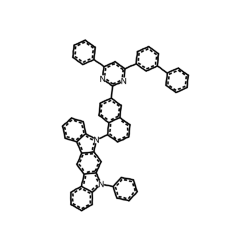 c1ccc(-c2cccc(-c3cc(-c4ccccc4)nc(-c4ccc5c(-n6c7ccccc7c7cc8c9ccccc9n(-c9ccccc9)c8cc76)cccc5c4)n3)c2)cc1